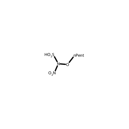 CCCCCON([N+](=O)[O-])S(=O)(=O)O